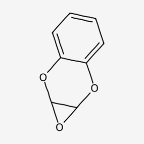 c1ccc2c(c1)OC1OC1O2